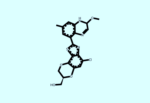 COC1C=Nc2c(cc(C)cc2-c2nc3c(Cl)cc4c(c3s2)OC[C@H](CO)O4)N1